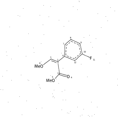 COC=C(C(=O)OC)c1cccc(F)c1